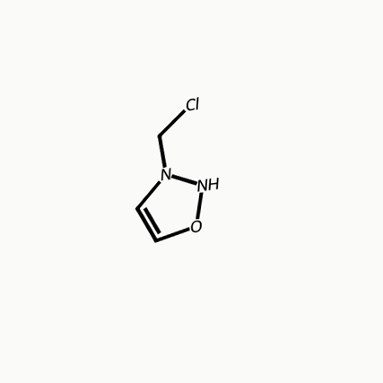 ClCN1C=CON1